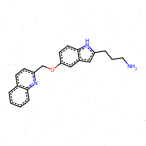 NCCCc1cc2cc(OCc3ccc4ccccc4n3)ccc2[nH]1